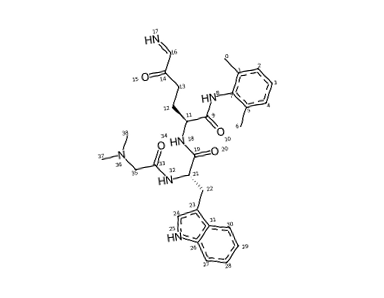 Cc1cccc(C)c1NC(=O)[C@H](CCC(=O)C=N)NC(=O)[C@H](Cc1c[nH]c2ccccc12)NC(=O)CN(C)C